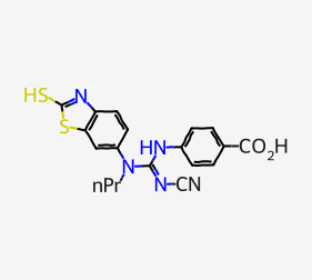 CCCN(/C(=N/C#N)Nc1ccc(C(=O)O)cc1)c1ccc2nc(S)sc2c1